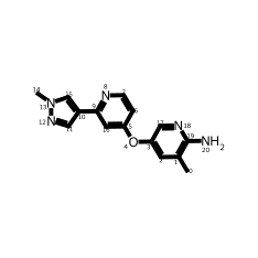 Cc1cc(Oc2ccnc(-c3cnn(C)c3)c2)cnc1N